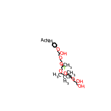 CC(=O)Nc1ccc(OCC(O)COCCOC(C)(F)CCOC(C)C(C)OC(C)(C)CCOCC(O)CO)cc1